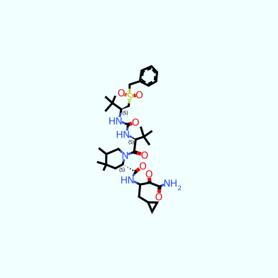 CC1CN(C(=O)[C@@H](NC(=O)N[C@H](CS(=O)(=O)Cc2ccccc2)C(C)(C)C)C(C)(C)C)[C@H](C(=O)NC(CC2CC2)C(=O)C(N)=O)CC1(C)C